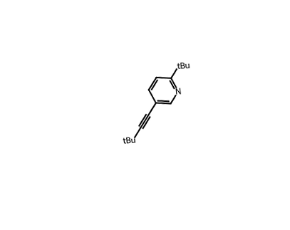 CC(C)(C)C#Cc1ccc(C(C)(C)C)nc1